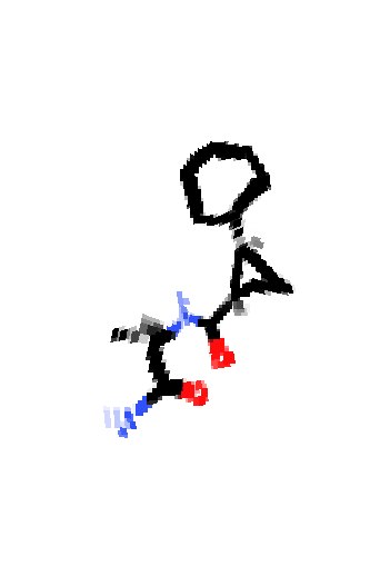 C[C@H](NC(=O)[C@@H]1C[C@H]1c1ccccc1)C(N)=O